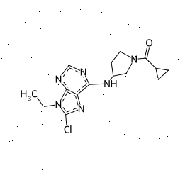 CCn1c(Cl)nc2c(NC3CCN(C(=O)C4CC4)C3)ncnc21